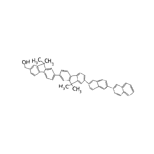 CC1(C)c2cc(CO)ccc2-c2ccc(-c3ccc4c(c3)C(C)(C)c3cc(-c5ccc6cc(-c7ccc8ccccc8c7)ccc6c5)ccc3-4)cc21